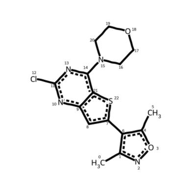 Cc1noc(C)c1-c1cc2nc(Cl)nc(N3CCOCC3)c2s1